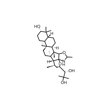 CC1NC23O[C@@H]([C@H](O)C(C)(C)O)C[C@@H](C)[C@@H]2[C@@]2(C)CC[C@@]45C[C@@]46CC[C@H](O)C(C)(C)[C@@H]6CC[C@H]5[C@]2(C)C3O1